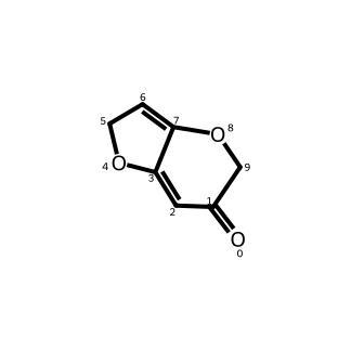 O=C1C=C2OCC=C2OC1